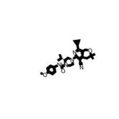 COc1ccc(NC(=O)N2CCN(c3nc(C4CC4)c4c(c3C#N)CC(C)(C)OC4)C[C@H]2C(C)C)cc1